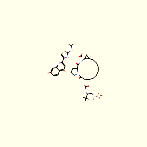 COc1ccc2c(O[C@@H]3C[C@H]4C(=O)N[C@]5(C(=O)O)C[C@@H]5CCCCCCC[C@H](NC(=O)NC(CN(C)S(C)(=O)=O)C(C)(C)C)C(=O)N4C3)cc(-c3csc(NC(C)C)n3)nc2c1